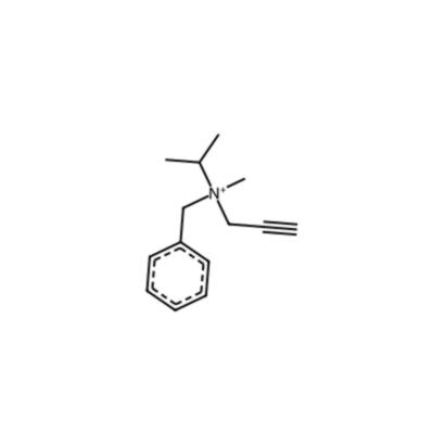 C#CC[N+](C)(Cc1ccccc1)C(C)C